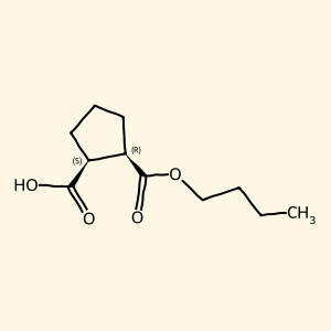 CCCCOC(=O)[C@@H]1CCC[C@@H]1C(=O)O